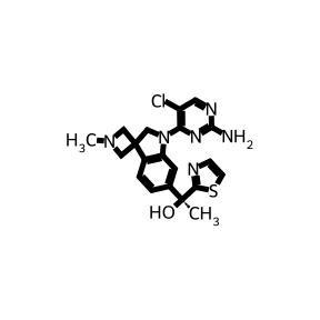 CN1CC2(C1)CN(c1nc(N)ncc1Cl)c1cc([C@](C)(O)c3nccs3)ccc12